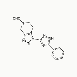 O=CN1CCn2c(nnc2-c2n[nH]c(-c3ccccc3)n2)C1